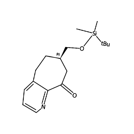 CC(C)(C)[Si](C)(C)OC[C@@H]1CCc2cccnc2C(=O)C1